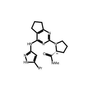 CNC(=O)[C@H]1CCCN1c1nc2c(c(Nc3cc(C(C)C)[nH]n3)n1)CCC2